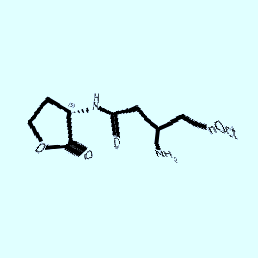 CCCCCCCCCC(N)CC(=O)N[C@H]1CCOC1=O